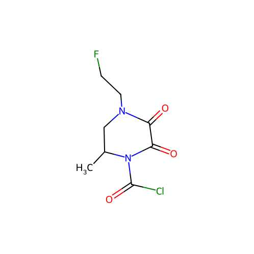 CC1CN(CCF)C(=O)C(=O)N1C(=O)Cl